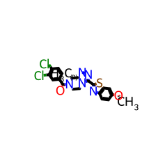 COc1ccc2nc(-c3nnc4n3CCN(C(=O)c3ccc(Cl)c(Cl)c3)[C@@H]4C)sc2c1